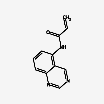 C=CC(=O)Nc1cccc2ncncc12